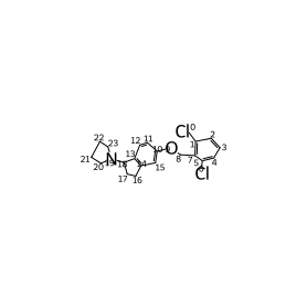 Clc1cccc(Cl)c1COc1ccc2c(c1)CCC2N1CCCC1